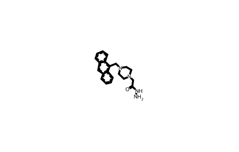 NNC(=O)CN1CCN(Cc2c3ccccc3cc3ccccc23)CC1